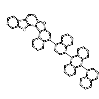 c1ccc2c(-c3c4ccccc4c(-c4ccc(-c5cc6oc7ccc8c9ccccc9oc8c7c6c6ccccc56)c5ccccc45)c4ccccc34)cccc2c1